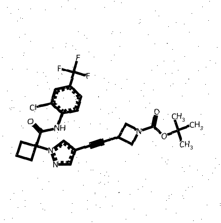 CC(C)(C)OC(=O)N1CC(C#Cc2cnn(C3(C(=O)Nc4ccc(C(F)(F)F)cc4Cl)CCC3)c2)C1